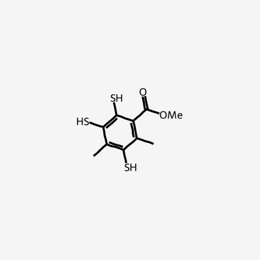 COC(=O)c1c(C)c(S)c(C)c(S)c1S